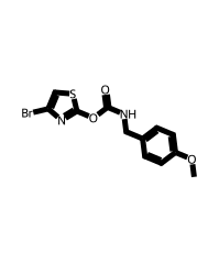 COc1ccc(CNC(=O)Oc2nc(Br)cs2)cc1